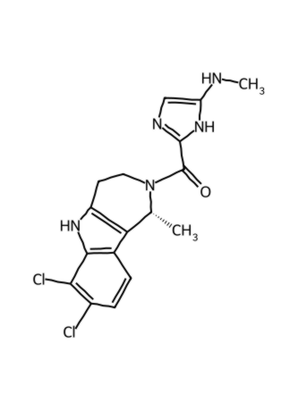 CNc1cnc(C(=O)N2CCc3[nH]c4c(Cl)c(Cl)ccc4c3[C@H]2C)[nH]1